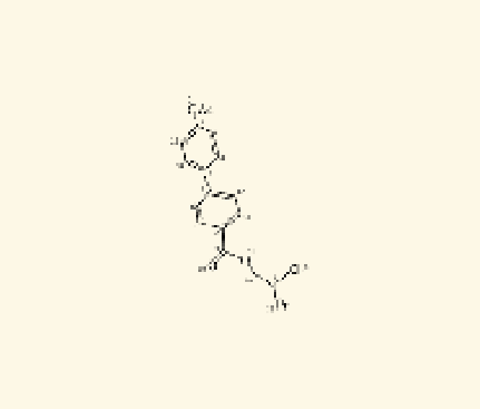 CC(=O)Oc1ccc(-c2ccc(C(=O)OCC(Cl)C(C)C)cc2)cc1